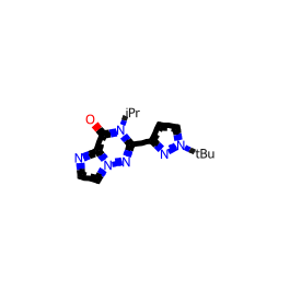 CC(C)n1c(-c2ccn(C(C)(C)C)n2)nn2ccnc2c1=O